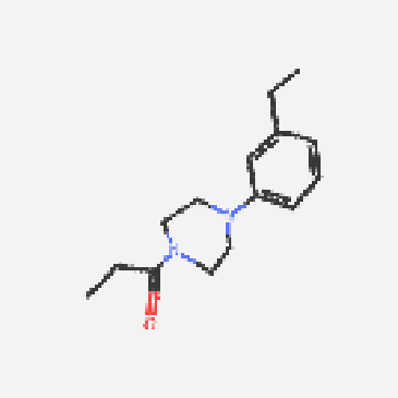 CCC(=O)N1CCN(c2cccc(CC)c2)CC1